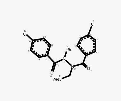 CSCN(C(=O)c1ccc(Cl)cc1)N(C(=O)c1ccc(Cl)cc1)C(C)(C)C